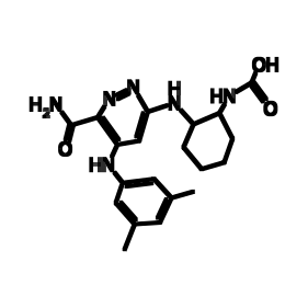 Cc1cc(C)cc(Nc2cc(NC3CCCCC3NC(=O)O)nnc2C(N)=O)c1